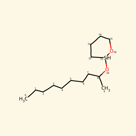 CCCCCCCCC(C)O[SiH]1CCCCO1